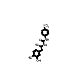 O=C(Nc1ccc([N+](=O)[O-])cc1)NC(O)Cc1ccc(O)c(O)c1